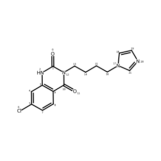 O=c1[nH]c2cc(Cl)ccc2c(=O)n1CCCCn1ccnc1